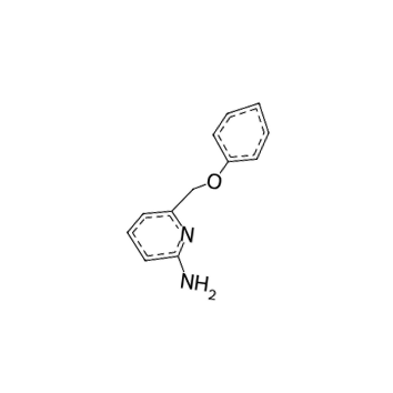 Nc1cccc(COc2ccccc2)n1